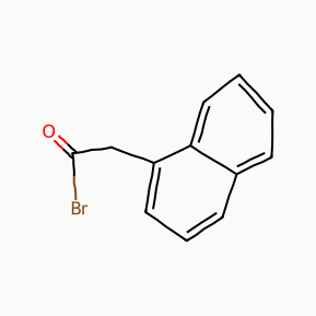 O=C(Br)Cc1cccc2ccccc12